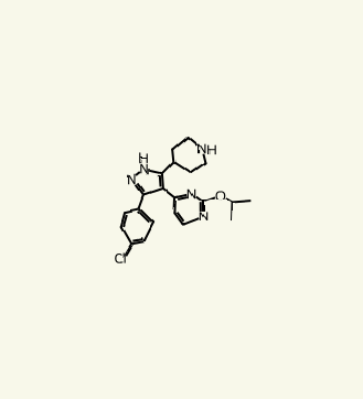 CC(C)Oc1nccc(-c2c(-c3ccc(Cl)cc3)n[nH]c2C2CCNCC2)n1